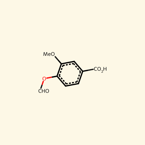 COc1cc(C(=O)O)ccc1OC=O